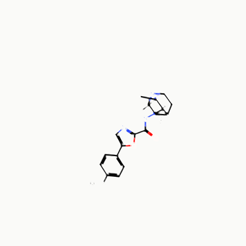 COc1ccc(-c2cnc(C(=O)N[C@@H]3C4CCN(CC4)[C@H]3C)o2)cc1